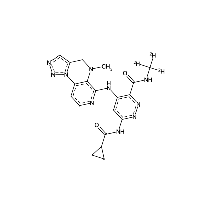 [2H]C([2H])([2H])NC(=O)c1nnc(NC(=O)C2CC2)cc1Nc1nccc2c1N(C)Cc1cnnn1-2